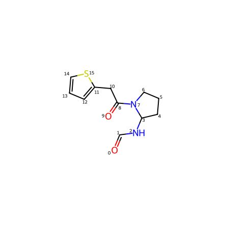 O=CNC1CCCN1C(=O)Cc1cccs1